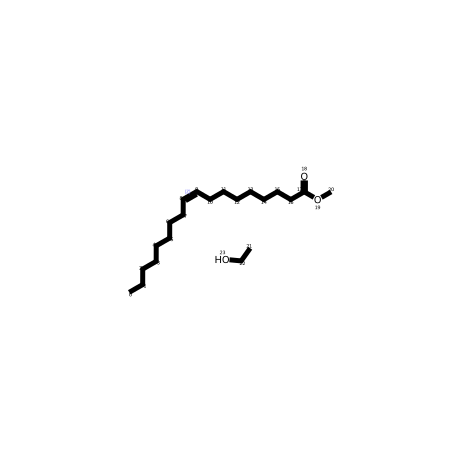 CCCCCCCC/C=C\CCCCCCCC(=O)OC.CCO